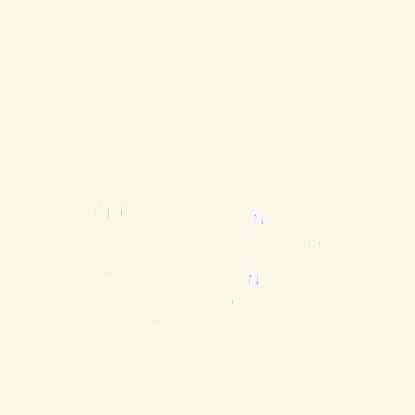 O=Cc1cc2c(-n3c(Cc4ccccc4)csc3=O)noc2c(F)c1F